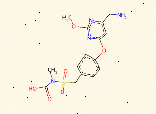 COc1nc(CN)cc(Oc2ccc(CS(=O)(=O)N(C)C(=O)O)cc2)n1